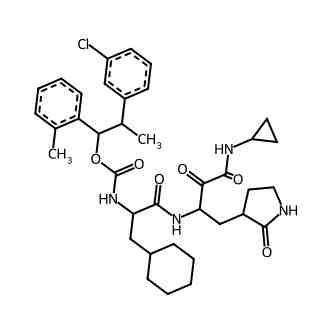 Cc1ccccc1C(OC(=O)NC(CC1CCCCC1)C(=O)NC(CC1CCNC1=O)C(=O)C(=O)NC1CC1)C(C)c1cccc(Cl)c1